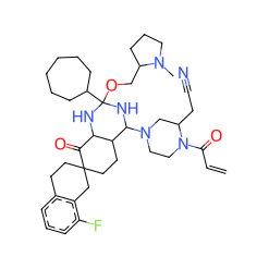 C=CC(=O)N1CCN(C2NC(OCC3CCCN3C)(C3CCCCCC3)NC3C(=O)C4(CCc5cccc(F)c5C4)CCC32)CC1CC#N